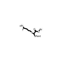 CCCCCC(SCCCC(F)CCC)C(=O)OC(C)C